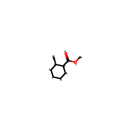 COC(=O)C1CCCC[C@H]1C